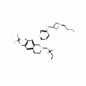 BC1(B)Oc2cc3c(cc2O1)[C@@H](c1ccc(NC2CN(CCCF)C2)cn1)N(CC(F)(F)CO)[C@H](C)C3